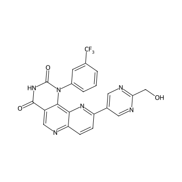 O=c1[nH]c(=O)n(-c2cccc(C(F)(F)F)c2)c2c1cnc1ccc(-c3cnc(CO)nc3)nc12